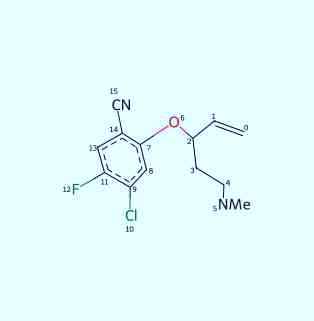 C=CC(CCNC)Oc1cc(Cl)c(F)cc1C#N